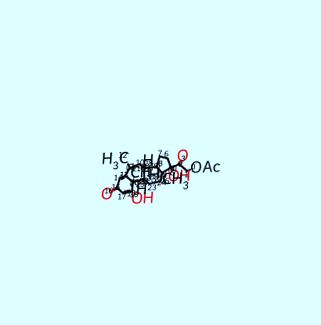 CC(=O)OCC(=O)[C@@]1(O)CC[C@H]2[C@@H]3C[C@H](C)C4=CC(=O)C=C(O)[C@]4(C)[C@H]3CC[C@@]21C